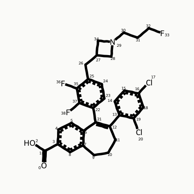 O=C(O)c1ccc2c(c1)CCCC(c1ccc(Cl)cc1Cl)=C2c1ccc(CC2CN(CCCF)C2)c(F)c1F